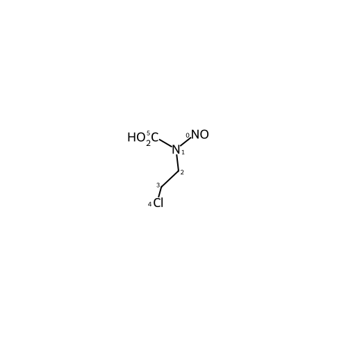 O=NN(CCCl)C(=O)O